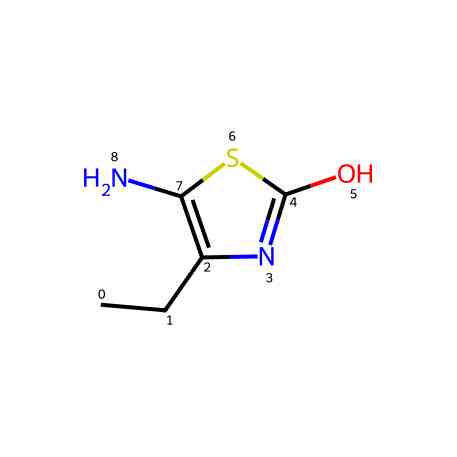 CCc1nc(O)sc1N